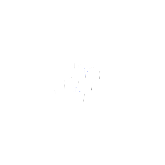 CC(C)C1CC(CC(C)N2CCC[C@@H](C(C)C)C2)CN(C(C)C)C1